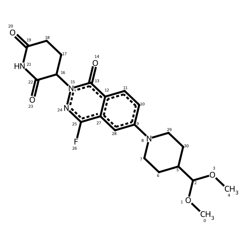 COC(OC)C1CCN(c2ccc3c(=O)n(C4CCC(=O)NC4=O)nc(F)c3c2)CC1